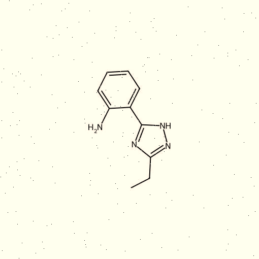 CCc1n[nH]c(-c2ccccc2N)n1